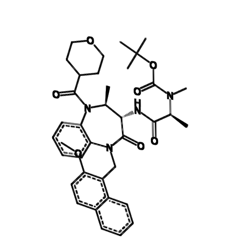 COc1ccc2ccccc2c1CN1C(=O)[C@@H](NC(=O)[C@H](C)N(C)C(=O)OC(C)(C)C)[C@H](C)N(C(=O)C2CCOCC2)c2ccccc21